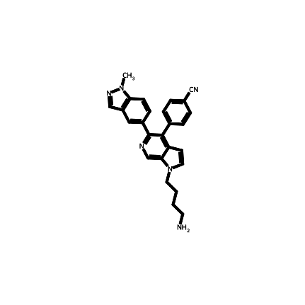 Cn1ncc2cc(-c3ncc4c(ccn4CCCCN)c3-c3ccc(C#N)cc3)ccc21